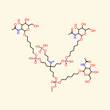 COSP(=O)(OCCCCCCOC1OC(CO)C(O)C(O)C1NC(C)=O)OCCCC(CCCOP(=O)(S)OCCCCCCOC1OC(CO)C(O)C(O)C1NC(C)=O)(CCCOP(=O)(S)OCCCCCCOC1OC(CO)C(O)C(O)C1NC(C)=O)N(C)CCCOP(=O)(O)S